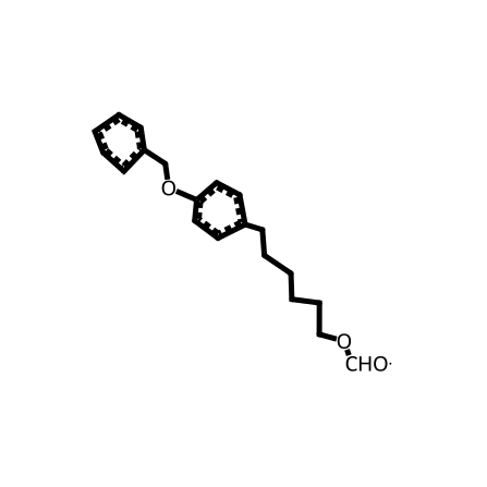 O=[C]OCCCCCCc1ccc(OCc2ccccc2)cc1